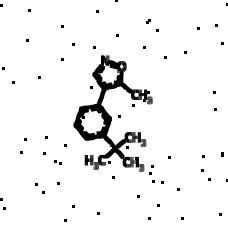 Cc1oncc1-c1cccc(C(C)(C)C)c1